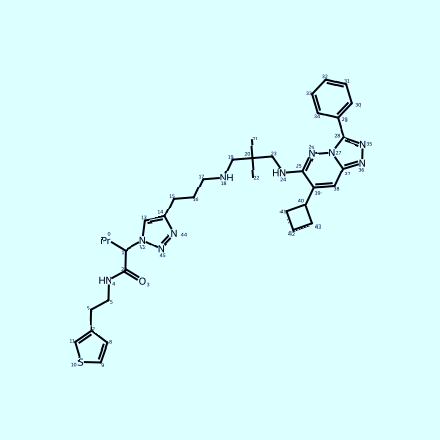 CC(C)C(C(=O)NCCc1ccsc1)n1cc(CCCNCC(C)(C)CNc2nn3c(-c4ccccc4)nnc3cc2C2CCC2)nn1